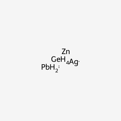 [Ag].[GeH4].[PbH2].[Zn]